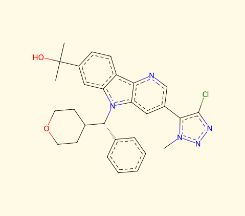 Cn1nnc(Cl)c1-c1cnc2c3ccc(C(C)(C)O)cc3n([C@H](c3ccccc3)C3CCOCC3)c2c1